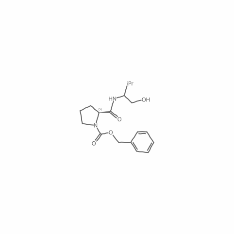 CC(C)C(CO)NC(=O)[C@@H]1CCCN1C(=O)OCc1ccccc1